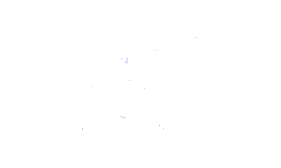 N#CC(=C(N)c1ccccc1)c1ccccc1